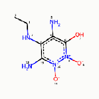 CCNc1c(N)c(O)[n+]([O-])[n+]([O-])c1N